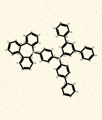 c1ccc(-c2ccc(N(c3ccc(N4c5ccccc5-c5ccccc5-c5ccccc54)cc3)c3cc(-c4ccccc4)cc(-c4ccccc4)c3)cc2)cc1